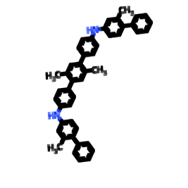 Cc1cc(Nc2ccc(-c3cc(C)c(-c4ccc(Nc5ccc(-c6ccccc6)c(C)c5)cc4)cc3C)cc2)ccc1-c1ccccc1